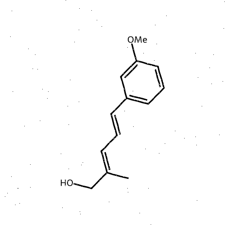 COc1cccc(/C=C/C=C(\C)CO)c1